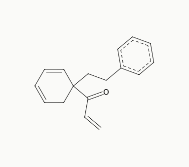 C=CC(=O)C1(CCc2ccccc2)C=CC=CC1